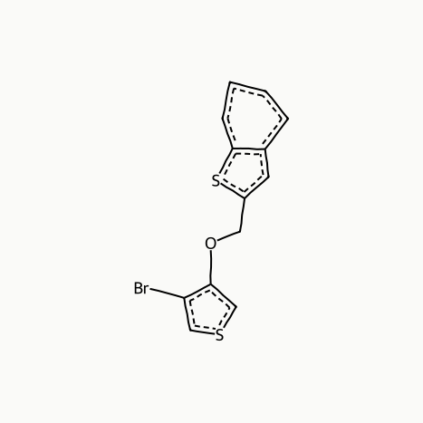 Brc1cscc1OCc1cc2ccccc2s1